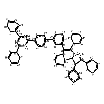 C1=CCCC(C2=NN3C(C4C=CC=CC4)=C(c4cccc(-c5ccc(-c6nc(C7=CC=CCC7)nc(C7C=CC=CC7)n6)cc5)c4)C4C=CC=CC4C3C2c2ccccc2)=C1